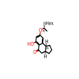 CCCCCC[C@@H](C)Oc1cc(O)c2c(c1)[C@@H]1CCC[C@H]1CC2=O